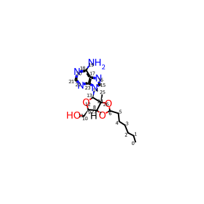 CCCCCCC1O[C@@H]2[C@@H](CO)O[C@@H](n3cnc4c(N)ncnc43)[C@]2(C)O1